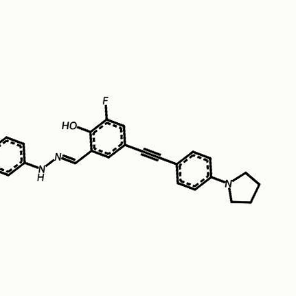 Oc1c(F)cc(C#Cc2ccc(N3CCCC3)cc2)cc1/C=N/Nc1ccccc1